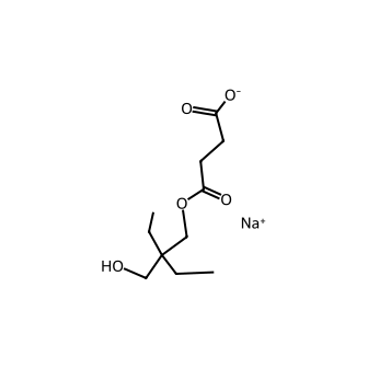 CCC(CC)(CO)COC(=O)CCC(=O)[O-].[Na+]